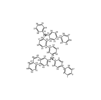 c1ccc(-c2ccc(N(c3cccc(-c4cccc5c4c4cc(-c6ccccc6)ccc4n5-c4ccccc4)c3)c3ccc4c(ccc5ccccc54)c3)cc2)cc1